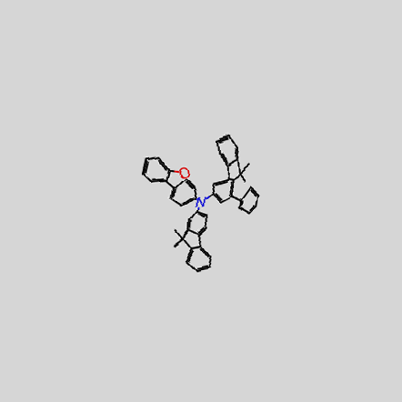 CC1(C)c2ccccc2-c2ccc(N(c3cc(-c4ccccc4)c4c(c3)-c3ccccc3C4(C)C)c3ccc4c(c3)oc3ccccc34)cc21